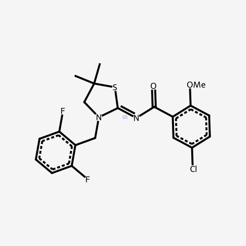 COc1ccc(Cl)cc1C(=O)/N=C1\SC(C)(C)CN1Cc1c(F)cccc1F